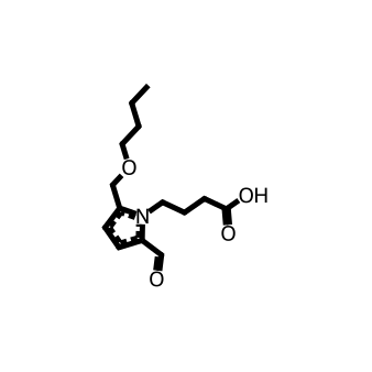 CCCCOCc1ccc(C=O)n1CCCC(=O)O